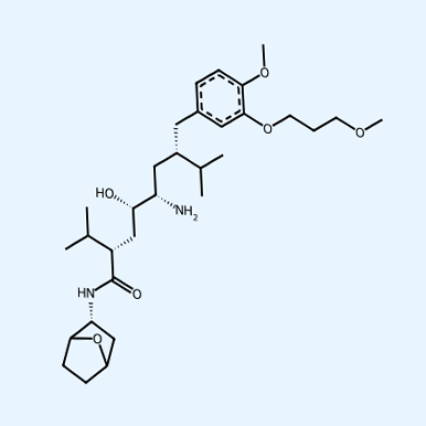 COCCCOc1cc(C[C@@H](C[C@H](N)[C@@H](O)C[C@H](C(=O)N[C@@H]2CC3CCC2O3)C(C)C)C(C)C)ccc1OC